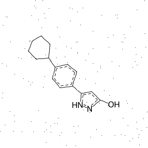 Oc1cc(-c2ccc(C3CC[CH]CC3)cc2)[nH]n1